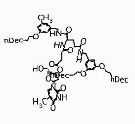 CCCCCCCCCCCCOc1cc(C)cc(CNC(=O)C(CCC(=O)NCc2cc(OCCCCCCCCCCCC)cc(OCCCCCCCCCCCC)c2)NC(=O)CCC(=O)O[C@@H]2C[C@H](n3cc(C)c(=O)[nH]c3=O)O[C@@H]2CO)c1